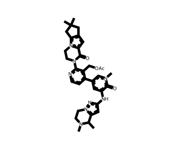 CC(=O)OCc1c(-c2cc(Nc3cc4n(n3)CCN(C)C4C)c(=O)n(C)c2)ccnc1N1CCn2c(cc3c2CC(C)(C)C3)C1=O